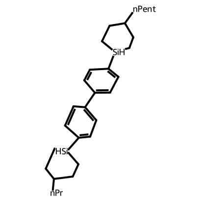 CCCCCC1CC[SiH](c2ccc(-c3ccc([SiH]4CCC(CCC)CC4)cc3)cc2)CC1